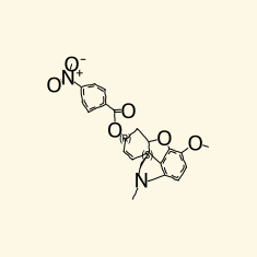 COc1ccc2c3c1OC1C[C@@H](OC(=O)c4ccc([N+](=O)[O-])cc4)C=C[C@@]31CCN(C)C2